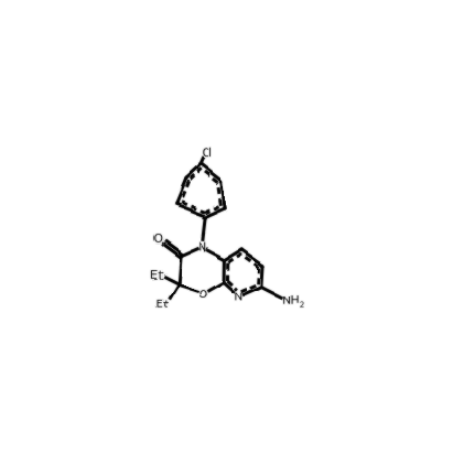 CCC1(CC)Oc2nc(N)ccc2N(c2ccc(Cl)cc2)C1=O